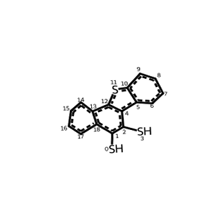 Sc1c(S)c2c3ccccc3sc2c2ccccc12